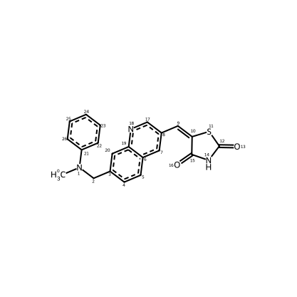 CN(Cc1ccc2cc(C=C3SC(=O)NC3=O)cnc2c1)c1ccccc1